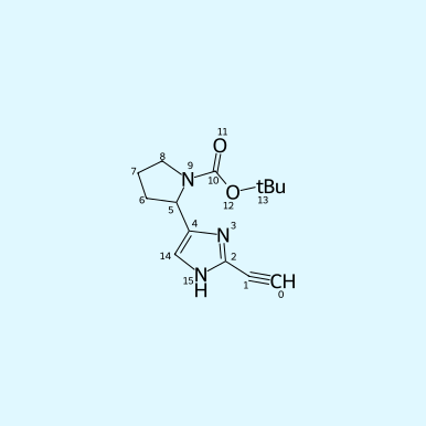 C#Cc1nc(C2CCCN2C(=O)OC(C)(C)C)c[nH]1